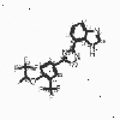 CC(Oc1ccc(-c2nc(-c3cccc4nc[nH]c34)no2)cc1C(F)(F)F)C(F)(F)F